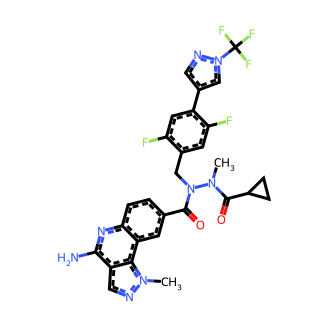 CN(C(=O)C1CC1)N(Cc1cc(F)c(-c2cnn(C(F)(F)F)c2)cc1F)C(=O)c1ccc2nc(N)c3cnn(C)c3c2c1